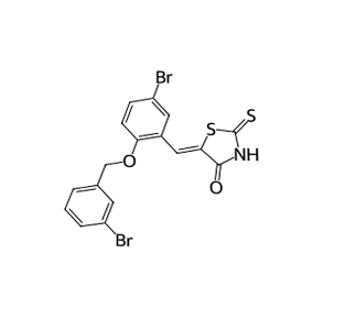 O=C1NC(=S)S/C1=C\c1cc(Br)ccc1OCc1cccc(Br)c1